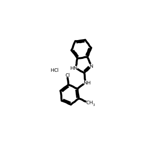 Cc1cccc(Cl)c1Nc1nc2ccccc2[nH]1.Cl